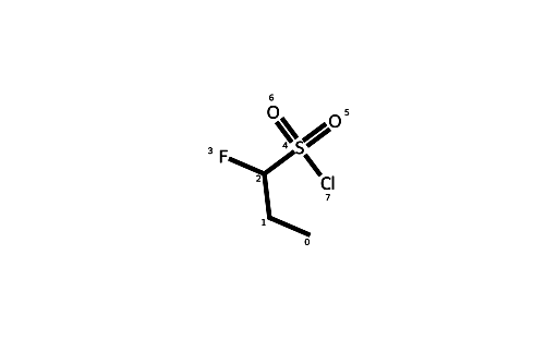 CCC(F)S(=O)(=O)Cl